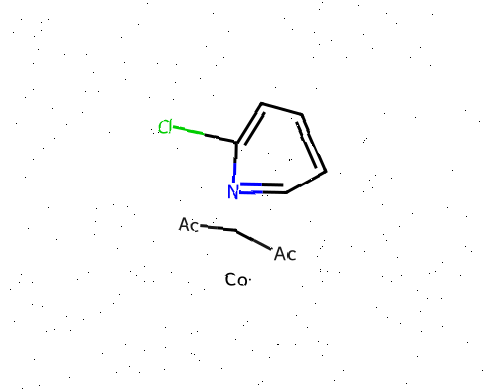 CC(=O)CC(C)=O.Clc1ccccn1.[Co]